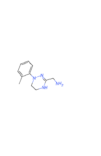 Cc1ccccc1N1CCNC(CN)=N1